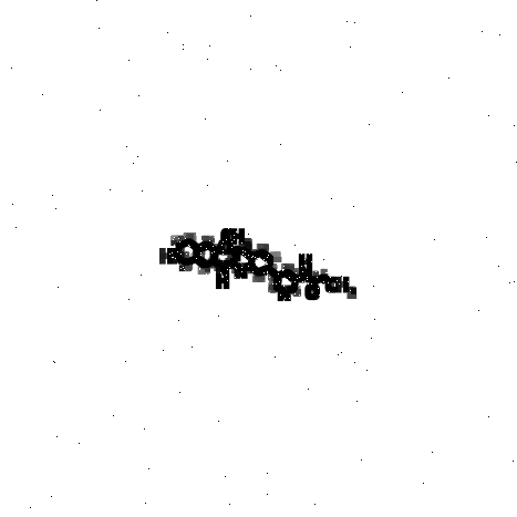 C=CC(=O)Nc1cncc(-c2ccc3cnc(Nc4cc5c(cc4OC)CCNC5)nc3c2)c1